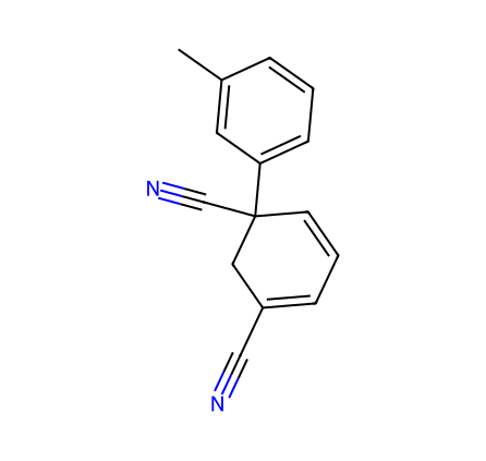 Cc1cccc(C2(C#N)C=CC=C(C#N)C2)c1